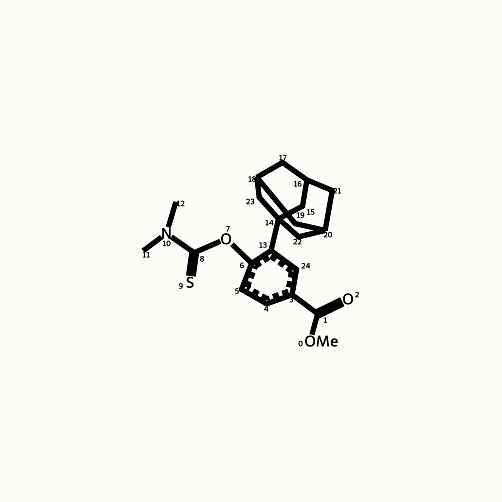 COC(=O)c1ccc(OC(=S)N(C)C)c(C23CC4CC(CC(C4)C2)C3)c1